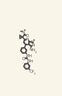 CN(C)C(=O)C1(c2cc(-c3cccc(NC(=O)Nc4cccc(C(F)(F)F)c4)c3)c3c(N)nn(C)c3n2)CC1